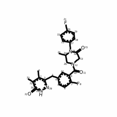 Cc1c(Cc2ccc(F)c(C(=O)N3CC(=O)N(c4ccc(F)cc4)C(C)C3)c2)n[nH]c(=O)c1C